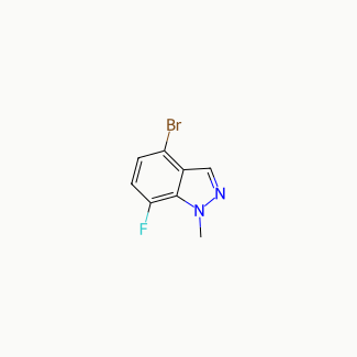 Cn1ncc2c(Br)ccc(F)c21